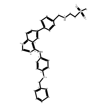 CS(=O)(=O)CCNCc1ccc(-c2ccc3ncnc(Nc4ccc(OCc5ccccc5)cc4)c3c2)cc1